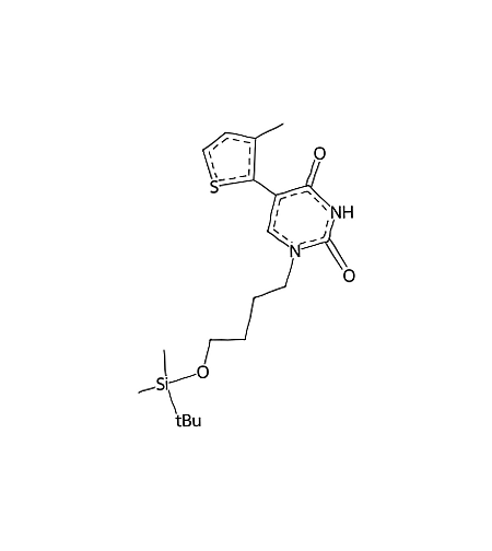 Cc1ccsc1-c1cn(CCCCO[Si](C)(C)C(C)(C)C)c(=O)[nH]c1=O